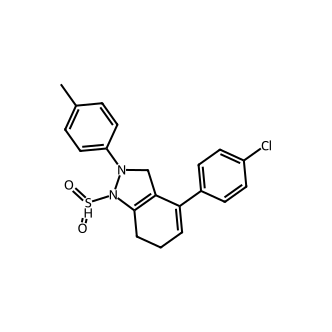 Cc1ccc(N2CC3=C(CCC=C3c3ccc(Cl)cc3)N2[SH](=O)=O)cc1